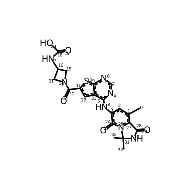 Cc1cc(Nc2ncnc3sc(C(=O)N4CC(NC(=O)O)C4)cc23)c(=O)n2c1C(=O)NC2(C)C